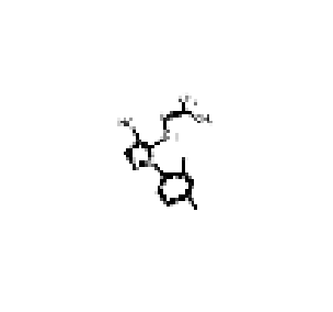 CC(C)=NNc1c(C#N)cnn1-c1ccc(Cl)cc1Cl